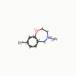 CCc1ccc2c(c1)OCCN(C(C)C)C2